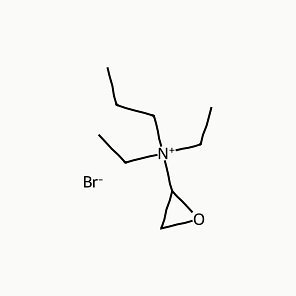 CCC[N+](CC)(CC)C1CO1.[Br-]